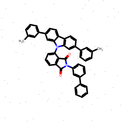 Cc1cccc(-c2ccc3c4ccc(-c5cccc(C)c5)cc4n(-c4cccc5c4C(=O)N(c4cccc(-c6ccccc6)c4)C5=O)c3c2)c1